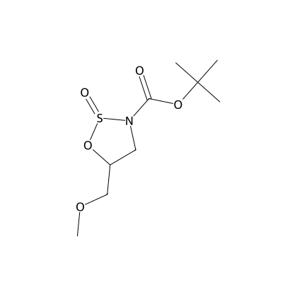 COCC1CN(C(=O)OC(C)(C)C)S(=O)O1